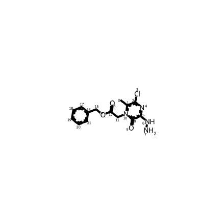 Cc1c(Cl)nc(NN)c(=O)n1CC(=O)OCc1ccccc1